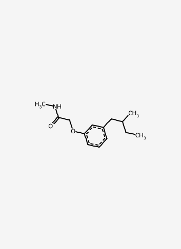 CCC(C)Cc1cccc(OCC(=O)NC)c1